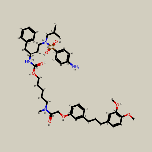 COc1ccc(CCCc2cccc(OCC(=O)N(C)CCCCCOC(=O)N[C@H](CCN(CC(C)C)S(=O)(=O)c3ccc(N)cc3)Cc3ccccc3)c2)cc1OC